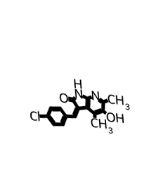 Cc1nc2c(c(C)c1O)C(=Cc1ccc(Cl)cc1)C(=O)N2